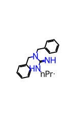 CC[CH]NC(=N)N(Cc1ccccc1)Cc1ccccc1